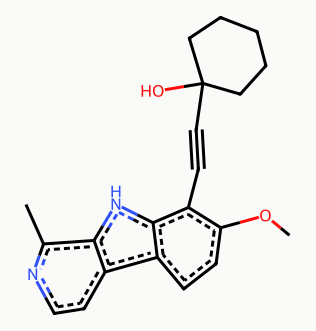 COc1ccc2c([nH]c3c(C)nccc32)c1C#CC1(O)CCCCC1